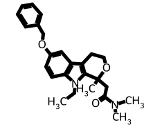 CCn1c2c(c3cc(OCc4ccccc4)ccc31)CCOC2(C)CC(=O)N(C)C